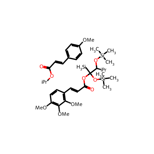 COc1ccc(C=CC(=O)OC(C)C)cc1.COc1ccc(C=CC(=O)OC([SiH3])(O[Si](C)(C)C)C(O[Si](C)(C)C)C(C)C)c(OC)c1OC